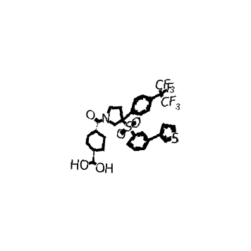 O=C([C@H]1CC[C@H](C(O)O)CC1)N1CCC(c2ccc(C(F)(C(F)(F)F)C(F)(F)F)cc2)(S(=O)(=O)c2cccc(-c3ccsc3)c2)C1